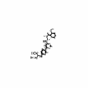 COc1ccccc1C(C)[C@H](C)CNc1cc(-c2ccc(NC(CO)CO)nc2)ncn1